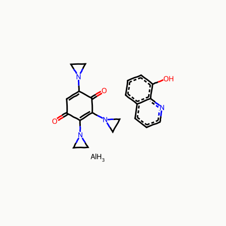 O=C1C=C(N2CC2)C(=O)C(N2CC2)=C1N1CC1.Oc1cccc2cccnc12.[AlH3]